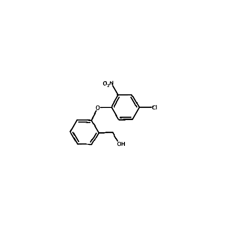 O=[N+]([O-])c1cc(Cl)ccc1Oc1ccccc1CO